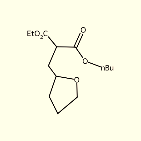 CCCCOC(=O)C(CC1CCCO1)C(=O)OCC